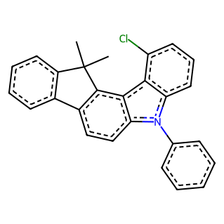 CC1(C)c2ccccc2-c2ccc3c(c21)c1c(Cl)cccc1n3-c1ccccc1